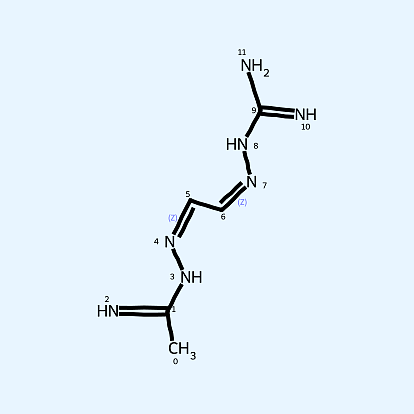 CC(=N)N/N=C\C=N/NC(=N)N